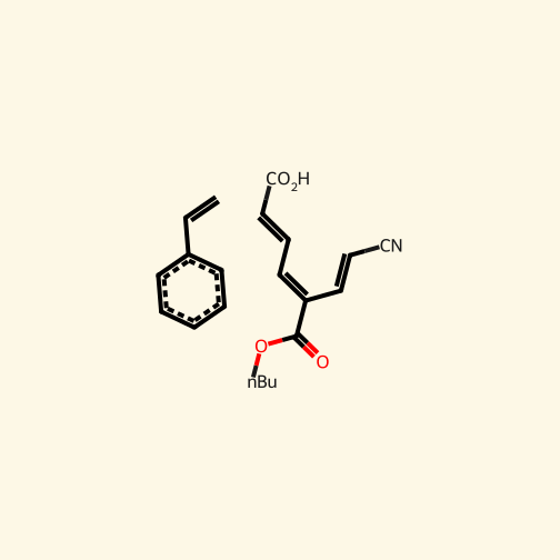 C=Cc1ccccc1.CCCCOC(=O)C(C=CC#N)=CC=CC(=O)O